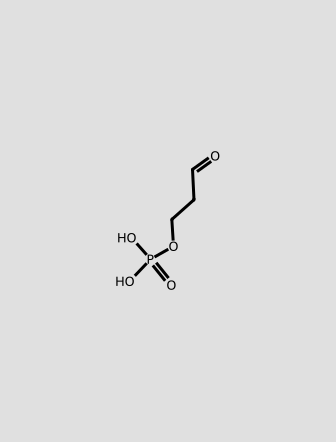 O=CCCOP(=O)(O)O